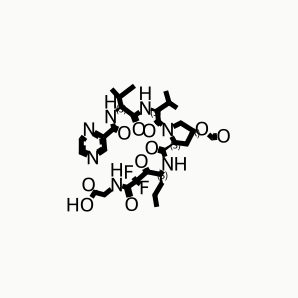 CCC[C@H](NC(=O)[C@@H]1C[C@@H](OC=O)CN1C(=O)[C@@H](NC(=O)[C@@H](NC(=O)c1cnccn1)C(C)C)C(C)C)C(=O)C(F)(F)C(=O)NCC(=O)O